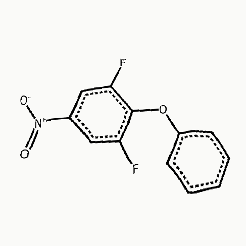 O=[N+]([O-])c1cc(F)c(Oc2ccccc2)c(F)c1